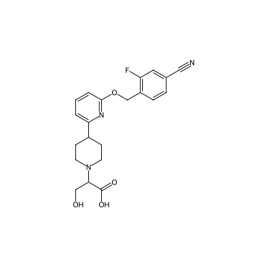 N#Cc1ccc(COc2cccc(C3CCN(C(CO)C(=O)O)CC3)n2)c(F)c1